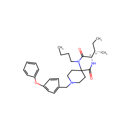 CCCCN1C(=O)[C@H]([C@@H](C)CC)NC(=O)C12CCN(Cc1ccc(Oc3ccccc3)cc1)CC2